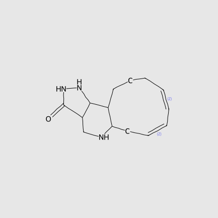 O=C1NNC2C1CNC1C/C=C\C=C/CCCC12